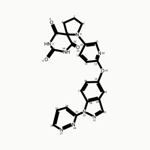 O=C1NC(=O)C2(CCCN2c2ccc(Oc3ccc4c(cnn4-c4cccnn4)c3)nc2)C(=O)N1